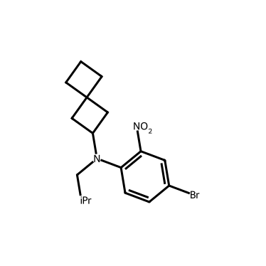 CC(C)CN(c1ccc(Br)cc1[N+](=O)[O-])C1CC2(CCC2)C1